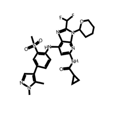 Cc1c(-c2ccc(Nc3cc(NC(=O)C4CC4)nc4c3nc(C(F)F)n4C3CCCCO3)c(S(C)(=O)=O)c2)cnn1C